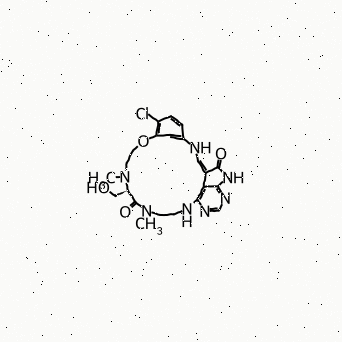 CN1CCNc2ncnc3c2/C(=C/Nc2ccc(Cl)c(c2)OCCN(C)[C@H](CO)C1=O)C(=O)N3